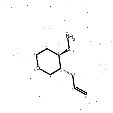 C=CC[C@@H]1COCC[C@H]1SN